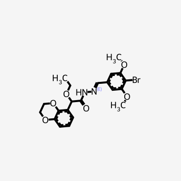 CCOC(C(=O)N/N=C/c1cc(OC)c(Br)c(OC)c1)c1cccc2c1OCCO2